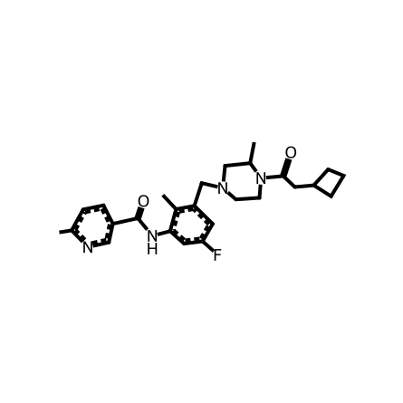 Cc1ccc(C(=O)Nc2cc(F)cc(CN3CCN(C(=O)CC4CCC4)C(C)C3)c2C)cn1